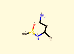 CCC(CCN)N[S+]([O-])C(C)(C)C